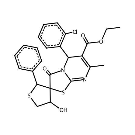 CCOC(=O)C1=C(C)N=C2SC3(C(=O)N2C1c1ccccc1Cl)C(O)CSC3c1ccccc1